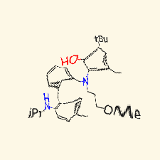 COCCCN(c1ccccc1-c1cc(C)ccc1NC(C)C)c1cc(C)cc(C(C)(C)C)c1O